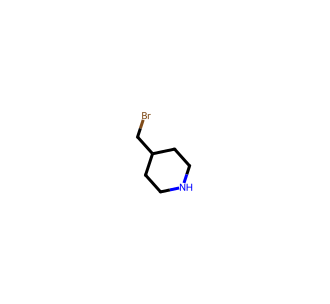 BrCC1CCNCC1